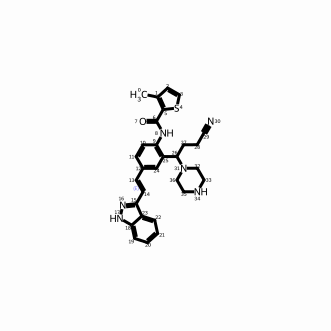 Cc1ccsc1C(=O)Nc1ccc(/C=C/c2n[nH]c3ccccc23)cc1C(CCC#N)N1CCNCC1